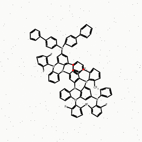 Fc1cccc(F)c1N(c1ccccc1)c1cc2c3c(c1)N(c1c(-c4ccccc4)cccc1C(F)(F)F)c1c(cc4c(c1C(F)(F)F)Sc1cc(N(c5ccc(-c6ccccc6)cc5)c5ccc(-c6ccccc6)cc5)cc5c1B4c1ccccc1N5c1c(F)cccc1F)B3c1ccccc1N2c1c(F)cccc1F